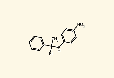 CCC(C)(Pc1ccc([N+](=O)[O-])cc1)c1ccccc1